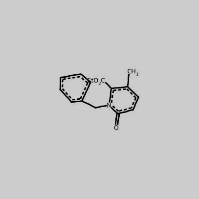 CCOC(=O)c1c(C)ccc(=O)n1Cc1ccccc1